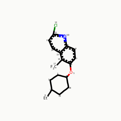 CCC1CCC(Oc2ccc3nc(Cl)ccc3c2C(F)(F)F)CC1